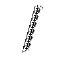 F[CH]C(F)(F)C(F)(F)C(F)(F)C(F)(F)C(F)(F)C(F)(F)C(F)(F)C(F)(F)C(F)(F)C(F)(F)C(F)(F)C(F)(F)C(F)(F)C(F)(F)C(F)(F)C(F)(F)C(F)(F)C(F)(F)C(F)(F)F